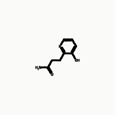 NC(=O)CCc1ncccc1O